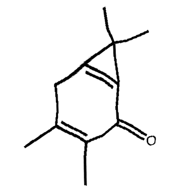 CC1=C(C)C(=O)C2=C(C1)C2(C)C